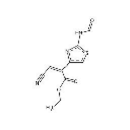 CCOC(=O)C(=CC#N)c1csc(NC=O)n1